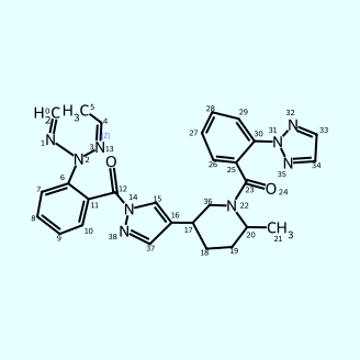 C=NN(/N=C\C)c1ccccc1C(=O)n1cc(C2CCC(C)N(C(=O)c3ccccc3-n3nccn3)C2)cn1